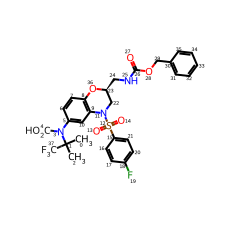 CC(C)(N(C(=O)O)c1ccc2c(c1)N(S(=O)(=O)c1ccc(F)cc1)C[C@H](CNC(=O)OCc1ccccc1)O2)C(F)(F)F